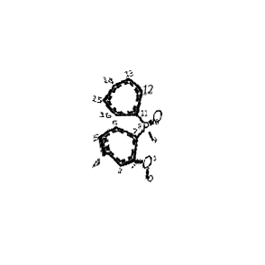 COc1ccccc1P(C)(=O)c1ccccc1